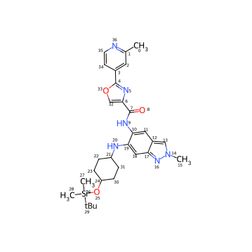 Cc1cc(-c2nc(C(=O)Nc3cc4cn(C)nc4cc3NC3CCC(O[Si](C)(C)C(C)(C)C)CC3)co2)ccn1